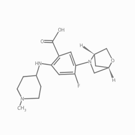 CN1CCC(Nc2cc(F)c(N3C[C@@H]4C[C@H]3CO4)cc2C(=O)O)CC1